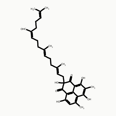 CC(C)=CCC/C(C=O)=C\CC/C(C)=C/CC/C(C)=C/CC1(O)C(=O)c2c(O)cc(C)c3c(O)c(C)c(O)c(c23)C1=O